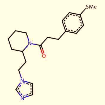 CSc1ccc(CCC(=O)N2CCCCC2CCn2ccnc2)cc1